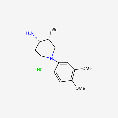 CCCC[C@@H]1CN(c2ccc(OC)c(OC)c2)CC[C@@H]1N.Cl